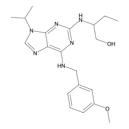 CCC(CO)Nc1nc(NCc2cccc(OC)c2)c2ncn(C(C)C)c2n1